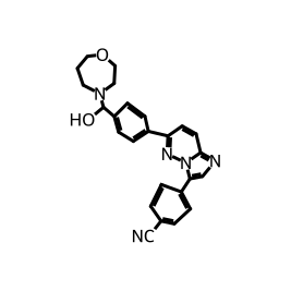 N#Cc1ccc(-c2cnc3ccc(-c4ccc(C(O)N5CCCOCC5)cc4)nn23)cc1